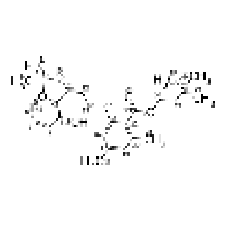 CC[C@@H](C)/C=C\C(O)[C@H]1OC(C)(C)O[C@H]1C/C=C/c1cc(C)cc(C)c1C(=O)OCC[Si](C)(C)C